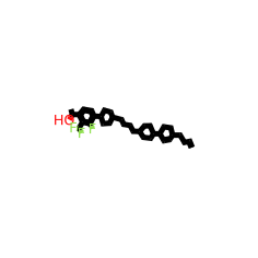 C=CCCC1C=CC(C2CCC(CCCCC3CCC(c4ccc(C(C)O)c(C(F)F)c4F)CC3)CC2)CC1